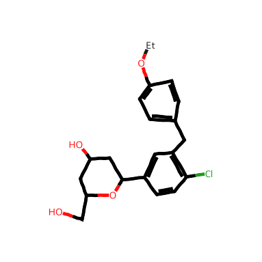 CCOc1ccc(Cc2cc(C3CC(O)CC(CO)O3)ccc2Cl)cc1